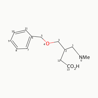 CNCC(COCc1ccccc1)CC(=O)O